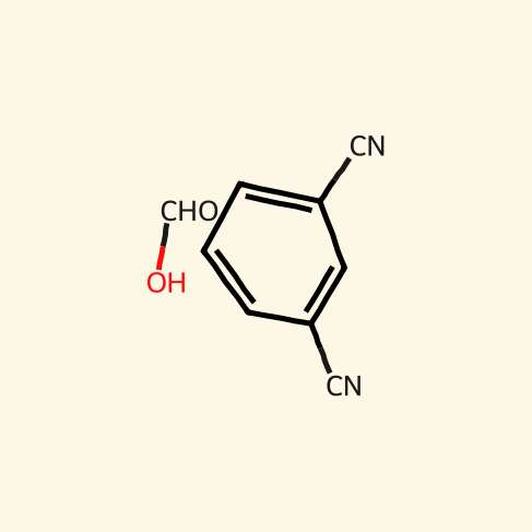 N#Cc1cccc(C#N)c1.O=CO